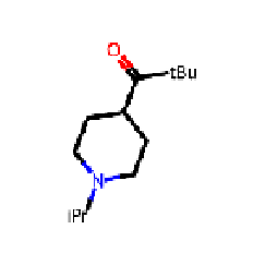 CC(C)N1CCC(C(=O)C(C)(C)C)CC1